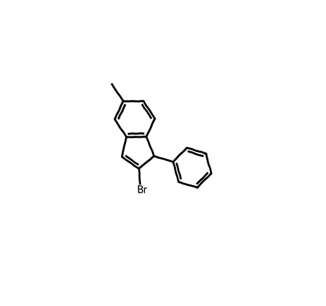 Cc1ccc2c(c1)C=C(Br)C2c1ccccc1